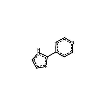 [c]1cnccc1-c1ncc[nH]1